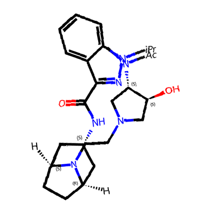 CC(=O)N(C)[C@H]1CN(CCN2[C@@H]3CC[C@H]2C[C@H](NC(=O)c2nn(C(C)C)c4ccccc24)C3)C[C@@H]1O